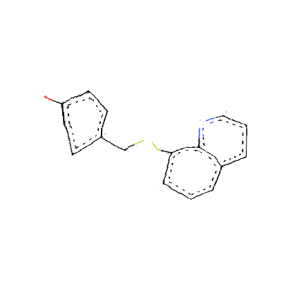 Oc1ccc(CSc2cccc3cccnc23)cc1